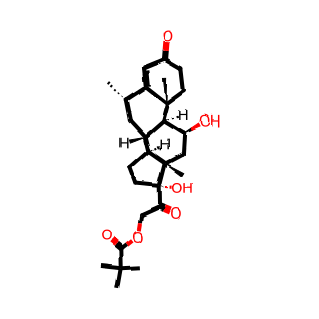 C[C@H]1C[C@@H]2[C@H]([C@@H](O)C[C@@]3(C)[C@H]2CC[C@]3(O)C(=O)COC(=O)C(C)(C)C)[C@@]2(C)CCC(=O)C=C12